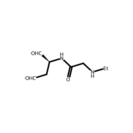 CCNCC(=O)N[C@H]([C]=O)C[C]=O